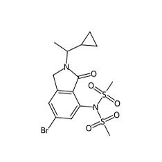 CC(C1CC1)N1Cc2cc(Br)cc(N(S(C)(=O)=O)S(C)(=O)=O)c2C1=O